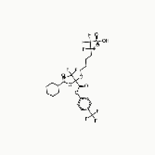 O=C(OC(OCCCCC(F)(F)C(F)(F)S(=O)(=O)O)(C(=O)Oc1ccc(C(F)(F)F)cc1)C(F)(F)F)C1CCCCC1